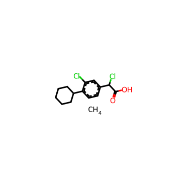 C.O=C(O)C(Cl)c1ccc(C2CCCCC2)c(Cl)c1